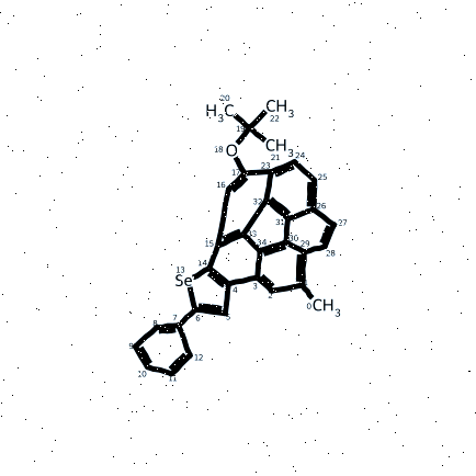 Cc1cc2c3cc(-c4ccccc4)[se]c3c3cc(OC(C)(C)C)c4ccc5ccc1c1c5c4c3c21